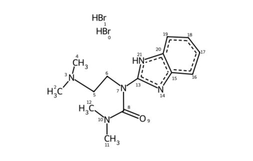 Br.Br.CN(C)CCN(C(=O)N(C)C)c1nc2ccccc2[nH]1